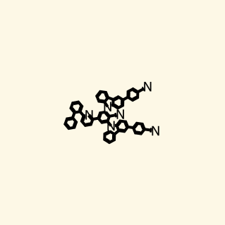 N#Cc1ccc(-c2ccc3c(c2)c2ccccc2n3-c2cc(-c3cccc(-c4ccccc4-c4ccccc4)n3)cc(-n3c4ccccc4c4cc(-c5ccc(C#N)cc5)ccc43)c2C#N)cc1